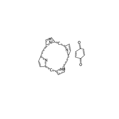 C1=Cc2cc3ccc(cc4nc(cc5ccc(cc1n2)[nH]5)C=C4)[nH]3.O=C1C=CC(=O)C=C1